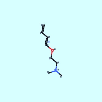 [CH]=C/C=[C]/OCCN(C)C